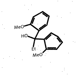 CCC(O)(c1ccccc1OC)c1ccccc1OC